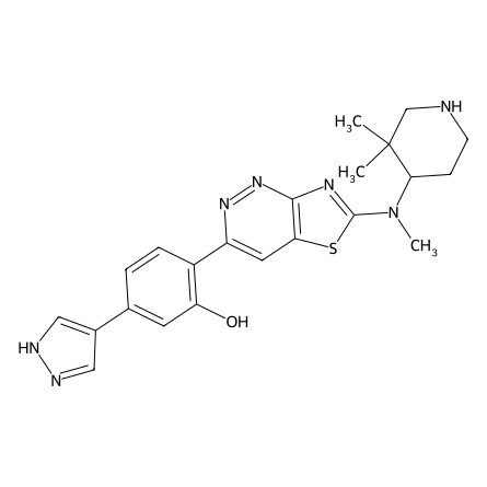 CN(c1nc2nnc(-c3ccc(-c4cn[nH]c4)cc3O)cc2s1)C1CCNCC1(C)C